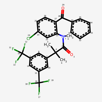 CN(C(=O)C(C)(C)c1cc(C(F)(F)F)cc(C(F)(F)F)c1)c1cc(Cl)ccc1C(=O)c1ccccc1